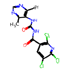 Cc1ncnc(C(C)C)c1NC(=O)NC(=O)c1cc(Cl)c(Cl)nc1Cl